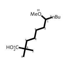 CCCCC(CCCCC(C)(C)C(=O)O)OC